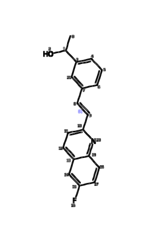 CC(O)c1cccc(/C=C/c2ccc3cc(F)ccc3n2)c1